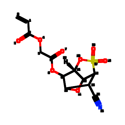 C=CC(=O)OCC(=O)OC1C2OC3C(C2C#N)S(=O)(=O)O[C@@H]13